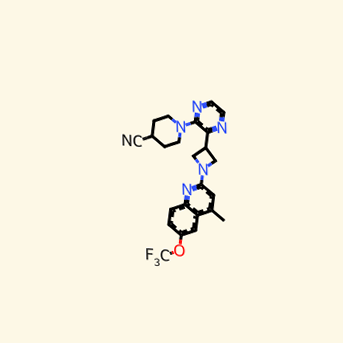 Cc1cc(N2CC(c3nccnc3N3CCC(C#N)CC3)C2)nc2ccc(OC(F)(F)F)cc12